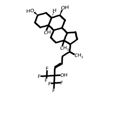 CC(C/C=C/C(O)(C(F)(F)F)C(F)(F)F)C1CCC2C3C[C@H](O)[C@@H]4C[C@H](O)CCC4(C)C3CCC12C